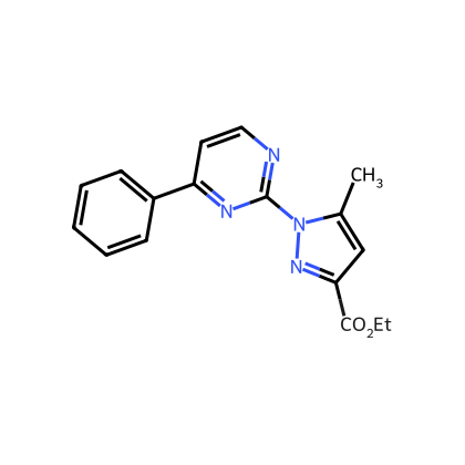 CCOC(=O)c1cc(C)n(-c2nccc(-c3ccccc3)n2)n1